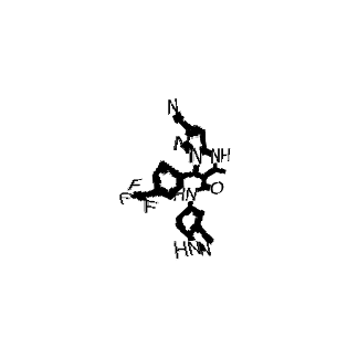 CC1=C(C(=O)Nc2ccc3[nH]ncc3c2)C(c2ccc(C(F)(F)F)cc2)n2nc(C#N)cc2N1